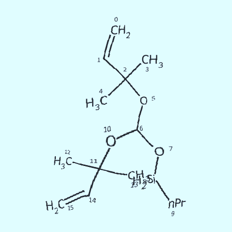 C=CC(C)(C)OC(O[SiH2]CCC)OC(C)(C)C=C